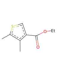 CCOC(=O)c1csc(C)c1C